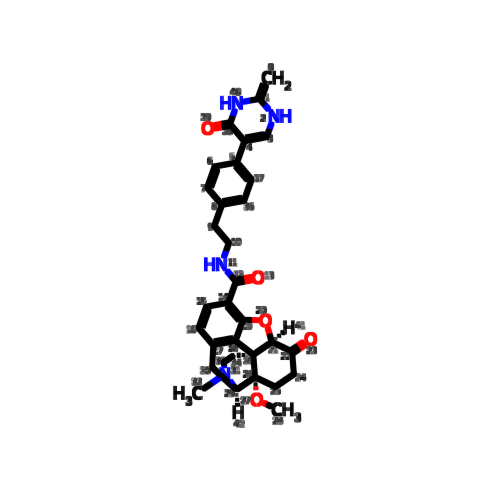 C=C1NC=C(c2ccc(CCNC(=O)c3ccc4c5c3O[C@H]3C(=O)CC[C@@]6(OC)[C@@H](C4)N(C)CC[C@]536)cc2)C(=O)N1